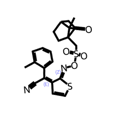 Cc1ccccc1/C(C#N)=C1/C=CS/C1=N\OS(=O)(=O)CC12CCC(CC1=O)C2(C)C